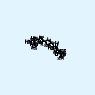 O=C(Cc1ccc(-c2cnc(NC3=C4OCCN4NC3)nc2)cc1F)Nc1cc(C2(C(F)(F)F)CC2)on1